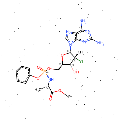 CC(C)OC(=O)[C@H](C)N[P@@](=O)(OC[C@H]1O[C@@H](n2cnc3c(N)nc(N)nc32)[C@](C)(Cl)[C@@H]1O)Oc1ccccc1